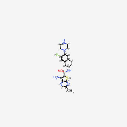 Cc1cnc2c(N)c(C(O)N[C@H]3CCc4cc(N5CCNCC5)c(F)cc4C3)sc2n1